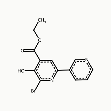 CCOC(=O)c1cc(-c2cccnc2)nc(Br)c1O